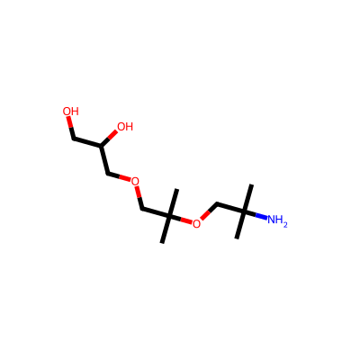 CC(C)(N)COC(C)(C)COCC(O)CO